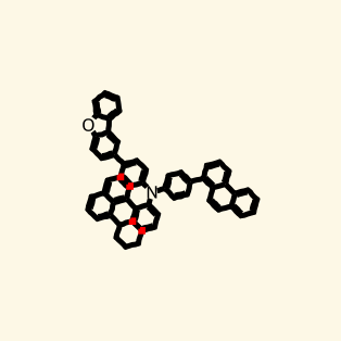 c1ccc(N(c2ccc(-c3ccc4oc5ccccc5c4c3)cc2)c2ccc(-c3cccc4c3ccc3ccccc34)cc2)c(-c2cccc3cccc(C4CCCCC4)c23)c1